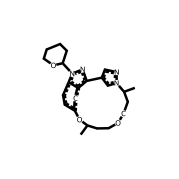 CC1CCOCCC(C)n2cc(cn2)-c2nn(C3CCCCO3)c3ccc(cc23)O1